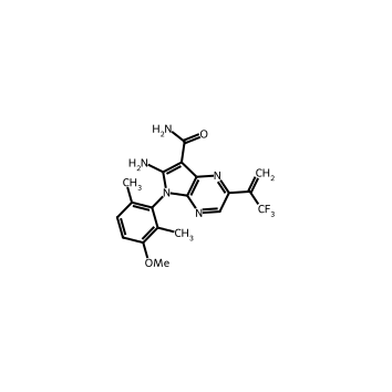 C=C(c1cnc2c(n1)c(C(N)=O)c(N)n2-c1c(C)ccc(OC)c1C)C(F)(F)F